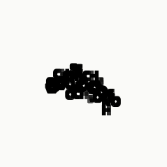 Cc1c(OC(=O)C(C)(CCC(C)C2CCSS2)COc2ccc(CC3SC(=O)NC3=O)cc2)cc2c(c1C)OCCC2